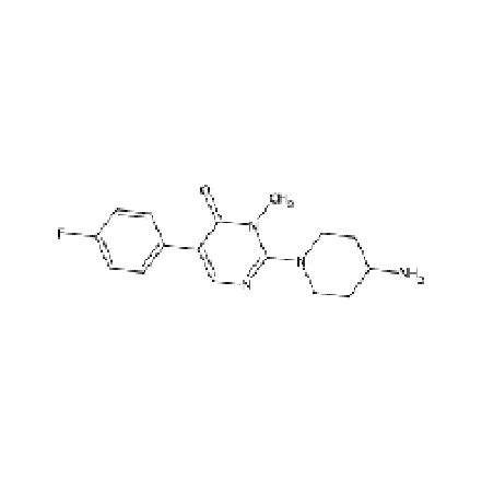 Cn1c(N2CCC(N)CC2)ncc(-c2ccc(F)cc2)c1=O